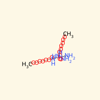 CCCOCCOCCOCCOCCOCCOCCC(=O)NCCCC[C@@H](NC(=O)CCOCCOCCOCCOCCOCCOCCC)C(=O)NC(CCCCN)C(N)=O